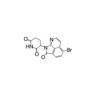 O=C1CCC(N2C(=O)c3ccc(Br)c4ccnc2c34)C(=O)N1